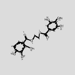 O=C(OCCOC(=O)c1ccc(O)c(O)c1O)c1cc(O)c(O)c(O)c1